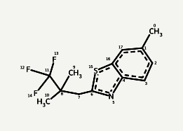 Cc1ccc2nc(CC(C)(C)C(F)(F)F)sc2c1